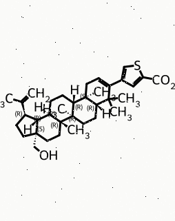 C=C(C)[C@@H]1CC[C@]2(CO)CC[C@]3(C)[C@H](CC[C@@H]4[C@@]5(C)CC=C(c6csc(C(=O)O)c6)C(C)(C)[C@@H]5CC[C@]43C)[C@@H]12